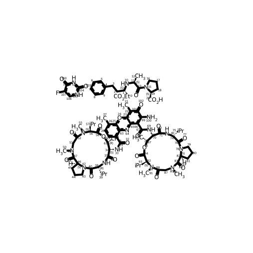 CCOC(=O)[C@H](CCc1ccccc1)N[C@@H](C)C(=O)N1CCC[C@H]1C(=O)O.Cc1c2oc3c(C)ccc(C(=O)N[C@@H]4C(=O)N[C@H](C(C)C)C(=O)N5CCC[C@H]5C(=O)N(C)CC(=O)N(C)[C@@H](C(C)C)C(=O)O[C@@H]4C)c3nc-2c(C(=O)N[C@@H]2C(=O)N[C@H](C(C)C)C(=O)N3CCC[C@H]3C(=O)N(C)CC(=O)N(C)[C@@H](C(C)C)C(=O)O[C@@H]2C)c(N)c1=O.O=c1[nH]cc(F)c(=O)[nH]1